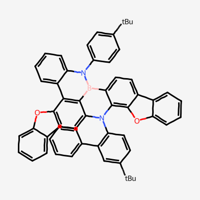 CC(C)(C)c1ccc(N2B3c4ccc5c(oc6ccccc65)c4N(c4ccc(C(C)(C)C)cc4-c4ccccc4)c4cc5c(oc6ccccc65)c(c43)-c3ccccc32)cc1